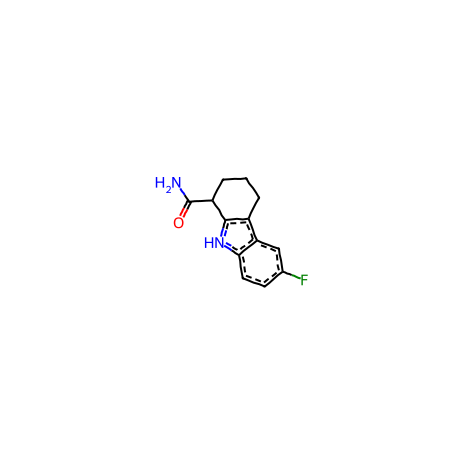 NC(=O)C1CCCc2c1[nH]c1ccc(F)cc21